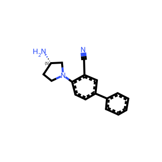 N#Cc1cc(-c2ccccc2)ccc1N1CC[C@H](N)C1